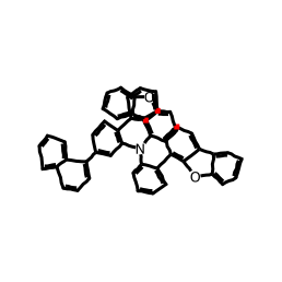 c1ccc(-c2ccc(-c3cccc4ccccc34)cc2N(c2ccccc2-c2cccc3c2oc2ccccc23)c2cccc3oc4ccccc4c23)cc1